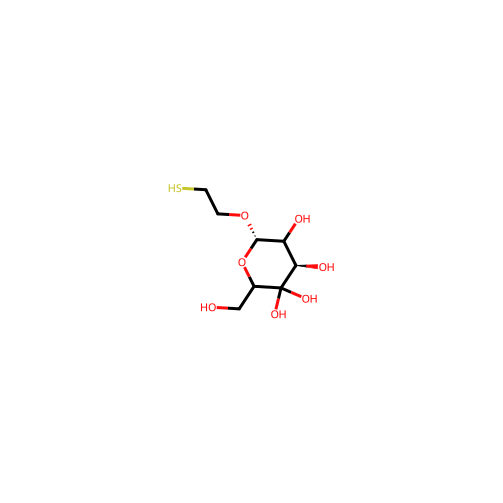 OCC1O[C@H](OCCS)C(O)[C@@H](O)C1(O)O